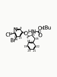 CC(C)(C)OC(=O)N[C@H](COc1cnc(Cl)c(Br)c1)Cc1ccccc1